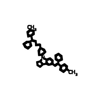 Cc1ccc(/C(=C/C=C/c2ccc(N3c4ccc(/C=C(\c5ccccc5)c5ccc(C)cc5)cc4C4CCCC43)cc2)c2ccccc2)cc1